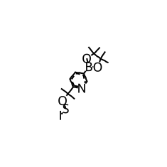 CC(C)(OSI)c1ccc(B2OC(C)(C)C(C)(C)O2)cn1